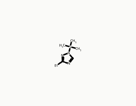 CCc1ncn([Si](C)(C)C)n1